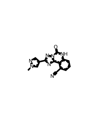 Cn1cc(-c2nc3c4c(C#N)cccc4[nH]c(=O)n3n2)cn1